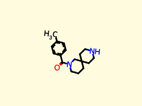 Cc1ccc(C(=O)N2CCCC3(CCNCC3)C2)cc1